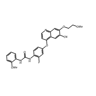 COCCOc1cc2nccc(Oc3ccc(NC(=O)Nc4ccccc4OC)c(F)c3)c2cc1C#N